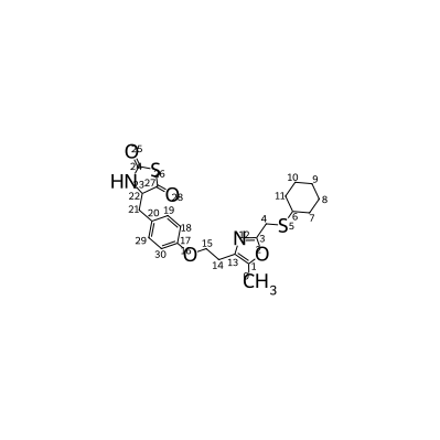 Cc1oc(CSC2CCCCC2)nc1CCOc1ccc(CC2NC(=O)SC2=O)cc1